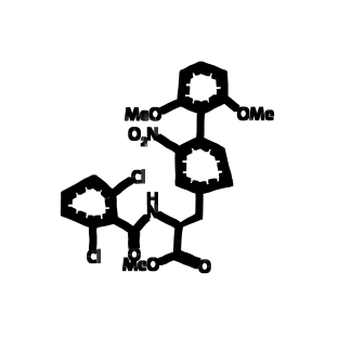 COC(=O)[C@H](Cc1ccc(-c2c(OC)cccc2OC)c([N+](=O)[O-])c1)NC(=O)c1c(Cl)cccc1Cl